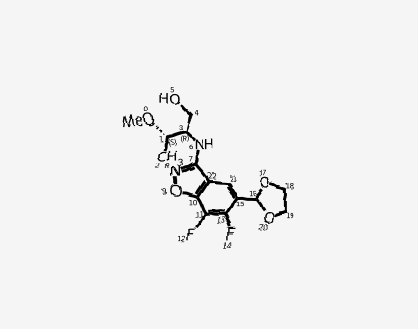 CO[C@@H](C)[C@@H](CO)Nc1noc2c(F)c(F)c(C3OCCO3)cc12